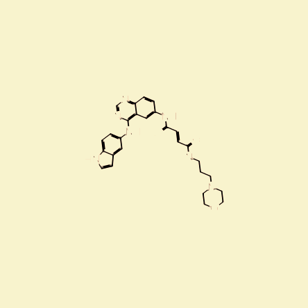 O=C(C=CC(=O)Nc1ccc2ncnc(Nc3ccc4[nH]ccc4c3)c2c1)NCCCN1CCOCC1